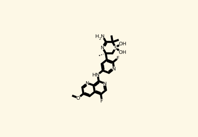 COc1cnc2c(Nc3cnc(F)c([C@]4(C)CS(O)(O)C(C)(C)C(N)=N4)c3)ncc(F)c2c1